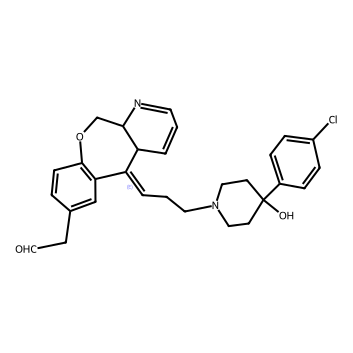 O=CCc1ccc2c(c1)/C(=C/CCN1CCC(O)(c3ccc(Cl)cc3)CC1)C1C=CC=NC1CO2